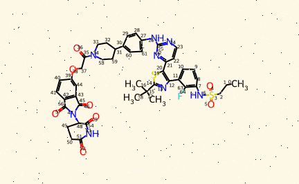 CCCS(=O)(=O)Nc1cccc(-c2nc(C(C)(C)C)sc2-c2ccnc(Nc3ccc(C4CCN(C(=O)COc5ccc6c(c5)C(=O)N([C@@H]5CCC(=O)NC5=O)C6=O)CC4)cc3)n2)c1F